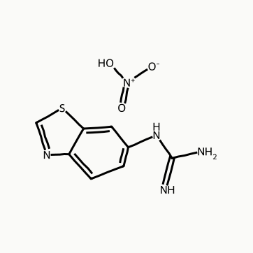 N=C(N)Nc1ccc2ncsc2c1.O=[N+]([O-])O